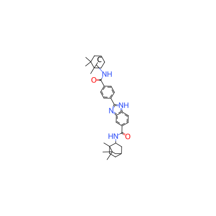 CC1(C)CC2CCC1(C)C(NC(=O)c1ccc(-c3nc4cc(C(=O)NC5CC6CCC5(C)C(C)(C)C6)ccc4[nH]3)cc1)C2